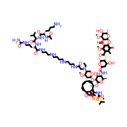 CCN(CC(=O)NCCCNCCCCNCCCNC(=O)[C@H](CCCNC(N)=O)NC(=O)[C@@H](NC(=O)[C@H](CCCCN)NC(C)=O)C(C)C)[C@H]1CO[C@@H](O[C@H]2[C@H](O[C@H]3C#CC=CC#C[C@]4(O)CC(=O)C(NC(=O)OC)=C3/C4=C\CSSC(C)C)O[C@H](C)[C@@H](NO[C@H]3C[C@H](O)[C@H](SC(=O)c4c(C)c(I)c(O[C@@H]5O[C@@H](C)[C@H](O)[C@@H](OC)[C@H]5O)c(OC)c4OC)[C@@H](C)O3)[C@@H]2O)C[C@@H]1OC